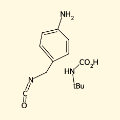 CC(C)(C)NC(=O)O.Nc1ccc(CN=C=O)cc1